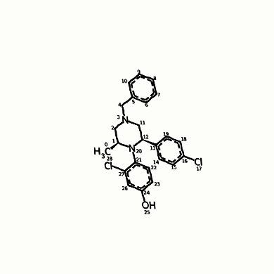 C[C@H]1CN(Cc2ccccc2)C[C@@H](c2ccc(Cl)cc2)N1c1ccc(O)cc1Cl